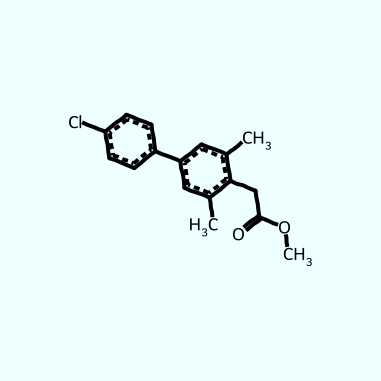 COC(=O)Cc1c(C)cc(-c2ccc(Cl)cc2)cc1C